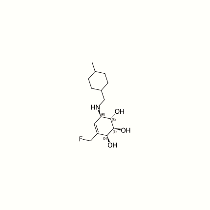 CC1CCC(CN[C@@H]2C=C(CF)[C@H](O)[C@H](O)[C@H]2O)CC1